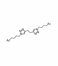 CC(=O)CCCCn1cc(CCc2cn(CCCCC(C)=O)nn2)nn1